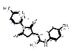 C=C(C)/C=C\C(=C)N1C(=O)CC(SC(C)NC2=CC=C(C)CC2)C1=O